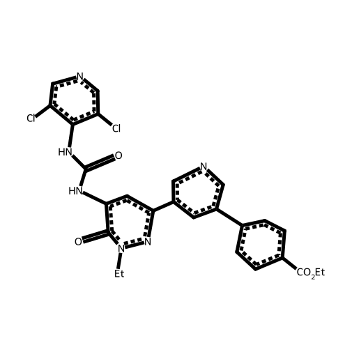 CCOC(=O)c1ccc(-c2cncc(-c3cc(NC(=O)Nc4c(Cl)cncc4Cl)c(=O)n(CC)n3)c2)cc1